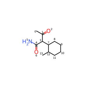 CC(=O)C(C(N)=O)C1CCCCC1C